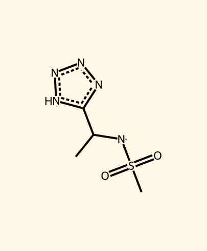 CC([N]S(C)(=O)=O)c1nnn[nH]1